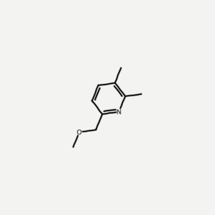 COCc1ccc(C)c(C)n1